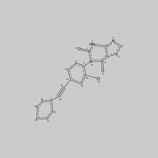 O=c1[nH]c2ncsc2c(=O)n1-c1ccc(C#Cc2ccccc2)cc1Cl